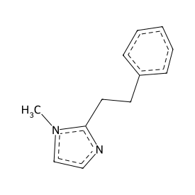 Cn1ccnc1CCc1ccccc1